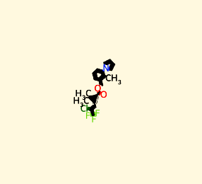 Cc1c(COC(=O)[C@H]2[C@@H](C=C(Cl)C(F)(F)F)C2(C)C)cccc1-n1cccc1